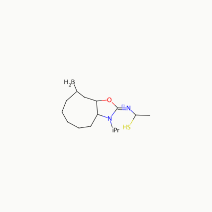 BC1CCCCCC2C(C1)O/C(=N/C(C)S)N2C(C)C